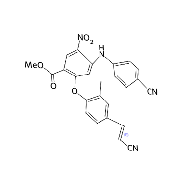 COC(=O)c1cc([N+](=O)[O-])c(Nc2ccc(C#N)cc2)cc1Oc1ccc(/C=C/C#N)cc1C